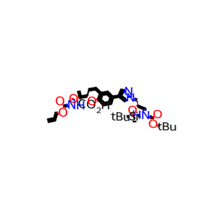 C=CCOC(=O)NO[C@](C)(C(=O)O)[C@H]1CCc2cc(-c3cnn(C[C@H](CNC(=O)OC(C)(C)C)O[Si](C)(C)C(C)(C)C)c3)ccc2O1